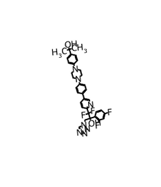 CC(C)(O)c1ccc(N2CCN(c3ccc(-c4ccc(C(F)(F)C(O)(Cn5cnnn5)c5ccc(F)cc5F)nc4)cc3)CC2)cc1